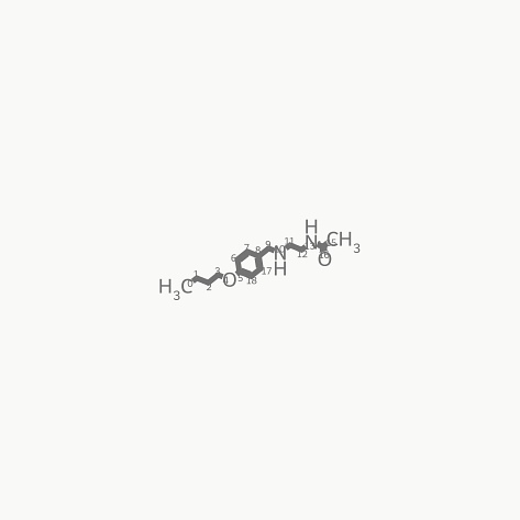 CCCCOc1ccc(CNCCNC(C)=O)cc1